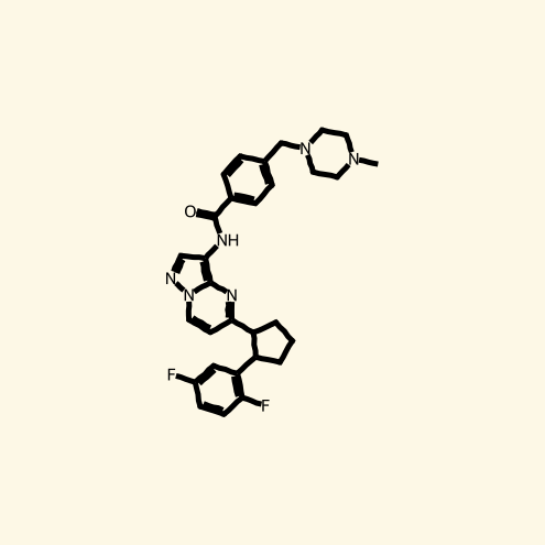 CN1CCN(Cc2ccc(C(=O)Nc3cnn4ccc(C5CCCC5c5cc(F)ccc5F)nc34)cc2)CC1